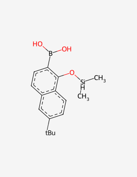 C[SiH](C)Oc1c(B(O)O)ccc2cc(C(C)(C)C)ccc12